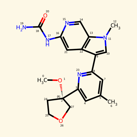 CO[C@@]1(c2cc(C)cc(-c3cn(C)c4cnc(NC(N)=O)cc34)n2)CCOC1